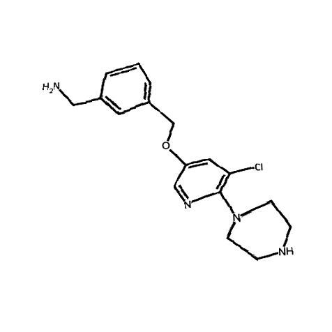 NCc1cccc(COc2cnc(N3CCNCC3)c(Cl)c2)c1